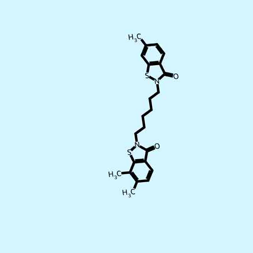 Cc1ccc2c(=O)n(CCCCCCn3sc4c(C)c(C)ccc4c3=O)sc2c1